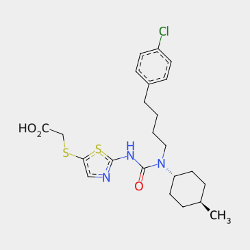 C[C@H]1CC[C@H](N(CCCCc2ccc(Cl)cc2)C(=O)Nc2ncc(SCC(=O)O)s2)CC1